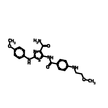 COCCNc1ccc(C(=O)Nc2sc(Nc3ccc(OC)cc3)nc2C(N)=O)cc1